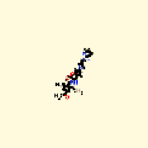 CCc1cc(C(C)=O)cc(C)c1C(=O)NC(Cc1ccc(N2CC(CNc3ccccn3)C2)cc1)C(=O)O